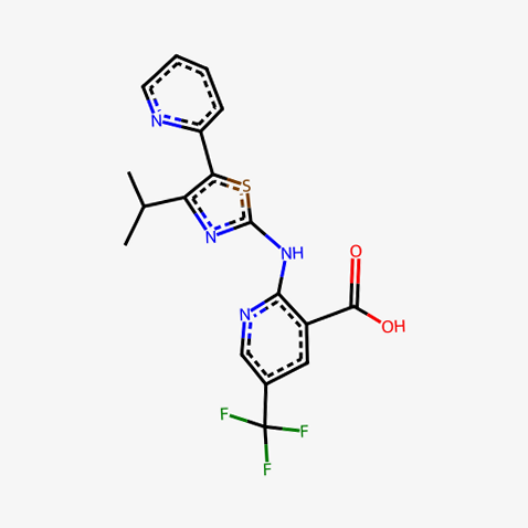 CC(C)c1nc(Nc2ncc(C(F)(F)F)cc2C(=O)O)sc1-c1ccccn1